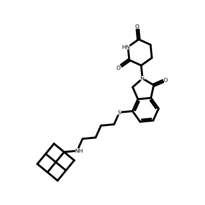 O=C1CCC(N2Cc3c(SCCCCNC45CC6CC7CC(C4)C765)cccc3C2=O)C(=O)N1